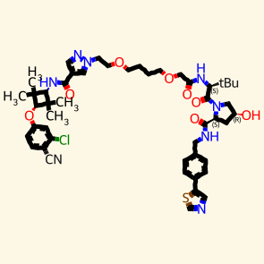 CC(C)(C)[C@H](NC(=O)COCCCCOCCn1cc(C(=O)N[C@H]2C(C)(C)[C@H](Oc3ccc(C#N)c(Cl)c3)C2(C)C)cn1)C(=O)N1C[C@H](O)C[C@H]1C(=O)NCc1ccc(-c2cncs2)cc1